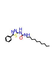 CCCCCCCCCCNC(=O)Nc1nnc(-c2ccccc2)s1